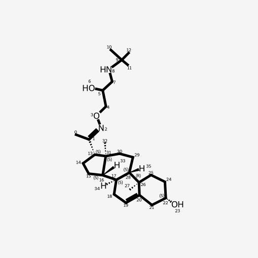 CC(=NOCC(O)CNC(C)(C)C)[C@H]1CC[C@H]2[C@@H]3CC=C4C[C@@H](O)CC[C@]4(C)[C@H]3CC[C@]12C